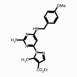 CCOC(=O)c1cnn(-c2cc(NCc3ccc(OC)cc3)nc(N)n2)c1C